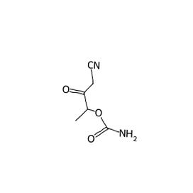 CC(OC(N)=O)C(=O)CC#N